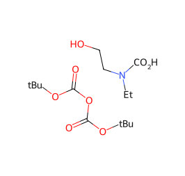 CC(C)(C)OC(=O)OC(=O)OC(C)(C)C.CCN(CCO)C(=O)O